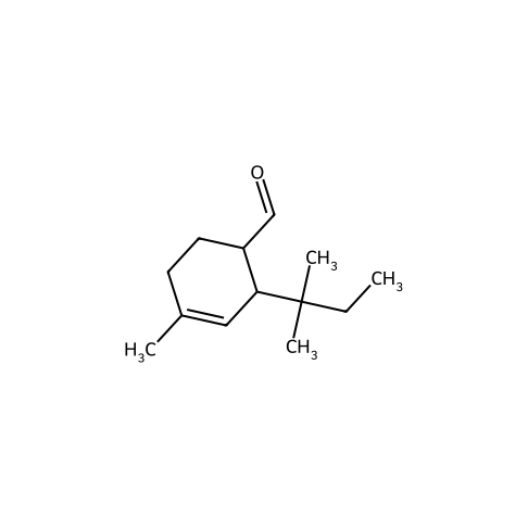 CCC(C)(C)C1C=C(C)CCC1C=O